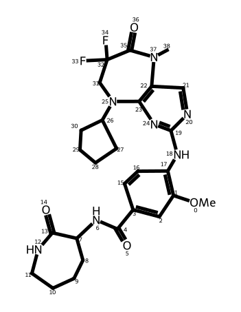 COc1cc(C(=O)NC2CCCCNC2=O)ccc1Nc1ncc2c(n1)N(C1CCCC1)CC(F)(F)C(=O)N2C